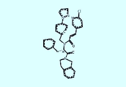 O=C([C@H](Cc1ccccc1)N(Cc1ccc(-n2cccn2)cc1)C(=O)C=Cc1ccc(Cl)nc1)N1CCc2ccccc2C1